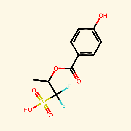 CC(OC(=O)c1ccc(O)cc1)C(F)(F)S(=O)(=O)O